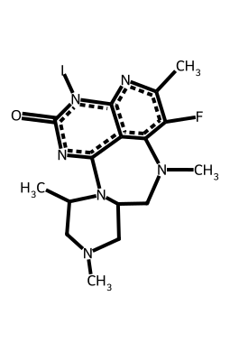 Cc1nc2c3c(nc(=O)n2I)N2C(C)CN(C)CC2CN(C)c3c1F